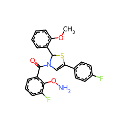 COc1ccccc1C1SC(c2ccc(F)cc2)=CN1C(=O)c1cccc(F)c1ON